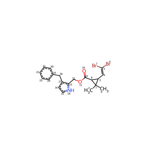 CC1(C)C(C=C(Br)Br)C1C(=O)OCc1[nH]ccc1Cc1ccccc1